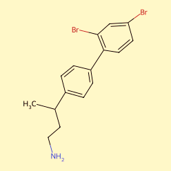 CC(CCN)c1ccc(-c2ccc(Br)cc2Br)cc1